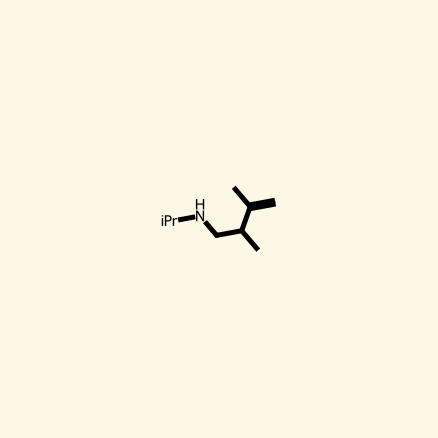 C=C(C)C(C)CNC(C)C